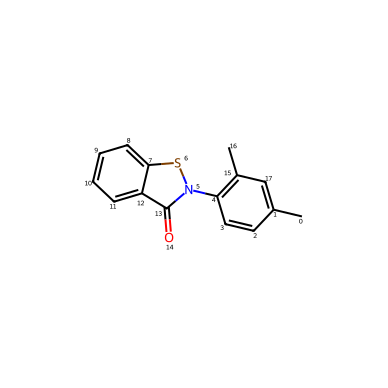 Cc1ccc(-n2sc3ccccc3c2=O)c(C)c1